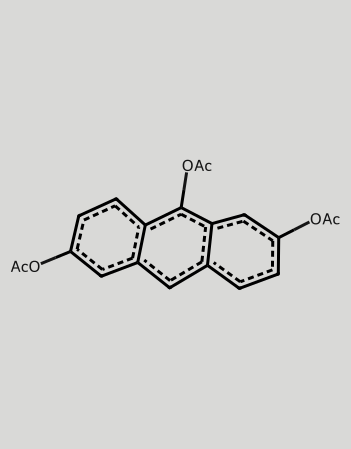 CC(=O)Oc1ccc2c(OC(C)=O)c3cc(OC(C)=O)ccc3cc2c1